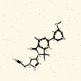 COc1cncc(-c2cc(C)c3c(n2)C(C)(C)N(C2C=NN(CC#N)C2)C3=O)c1